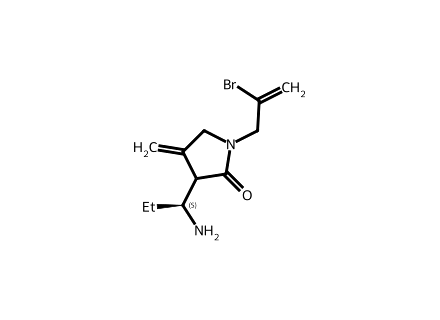 C=C(Br)CN1CC(=C)C([C@@H](N)CC)C1=O